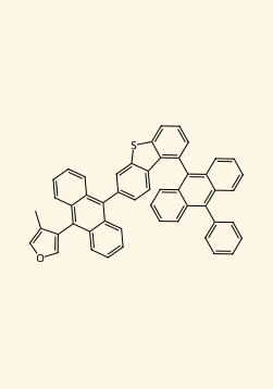 Cc1cocc1-c1c2ccccc2c(-c2ccc3c(c2)sc2cccc(-c4c5ccccc5c(-c5ccccc5)c5ccccc45)c23)c2ccccc12